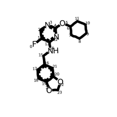 Fc1cnc(OC2CCCCC2)nc1NCc1ccc2c(c1)OCO2